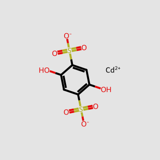 O=S(=O)([O-])c1cc(O)c(S(=O)(=O)[O-])cc1O.[Cd+2]